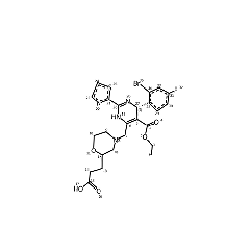 CCOC(=O)C1=C(CN2CCOC(CCC(=O)O)C2)NC(c2nccs2)=N[C@@H]1c1ccc(F)cc1Br